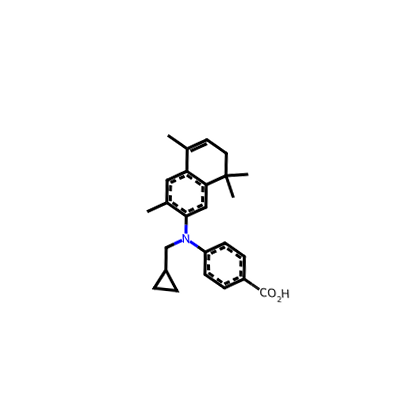 CC1=CCC(C)(C)c2cc(N(CC3CC3)c3ccc(C(=O)O)cc3)c(C)cc21